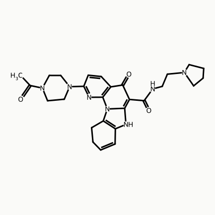 CC(=O)N1CCN(c2ccc3c(=O)c(C(=O)NCCN4CCCC4)c4[nH]c5c(n4c3n2)CCC=C5)CC1